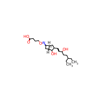 CCC(CC)CCC(O)C=CC1C[C@@H]2C(=NOCCCC(=O)O)C[C@H]2C1O